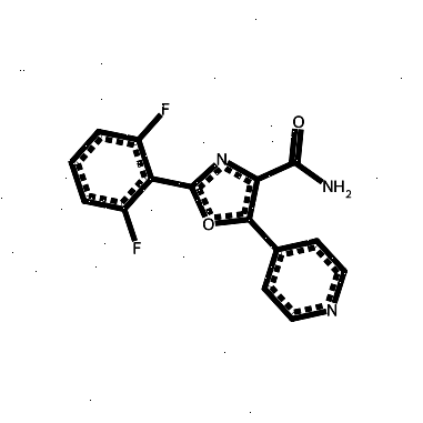 NC(=O)c1nc(-c2c(F)cccc2F)oc1-c1ccncc1